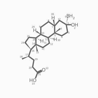 B[C@]1(O)CC[C@@]2(C)[C@H](CC[C@@H]3[C@@H]2CC[C@]2(C)[C@@H]([C@H](C)CCC(=O)O)CC[C@@H]32)C1